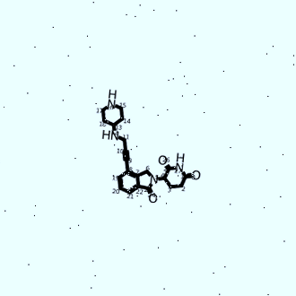 O=C1CCC(N2Cc3c(C#CCNC4CCNCC4)cccc3C2=O)C(=O)N1